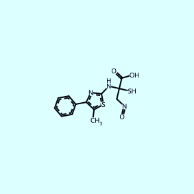 Cc1sc(NC(S)(CN=O)C(=O)O)nc1-c1ccccc1